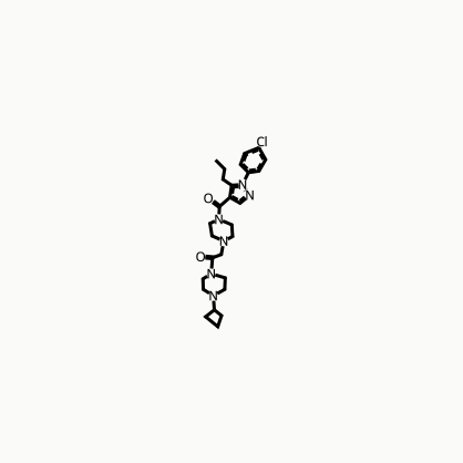 CCCc1c(C(=O)N2CCN(CC(=O)N3CCN(C4CCC4)CC3)CC2)cnn1-c1ccc(Cl)cc1